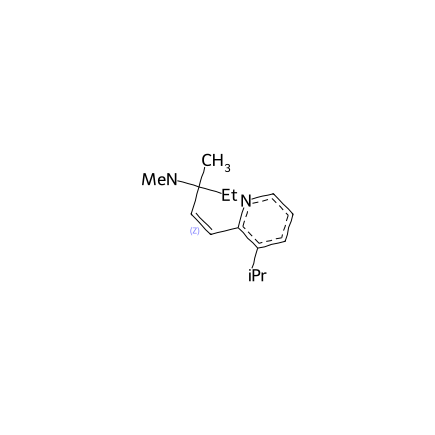 CCC(C)(/C=C\c1ncccc1C(C)C)NC